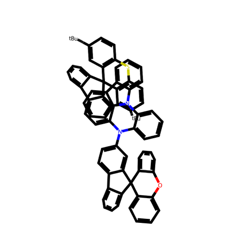 CC(C)(C)c1ccc2c(c1)C1(c3cc(C(C)(C)C)ccc3S2)c2ccccc2-c2ccc(N(c3ccc4c(c3)C3(c5ccccc5Oc5ccccc53)c3ccccc3-4)c3ccccc3-n3c4ccccc4c4ccccc43)cc21